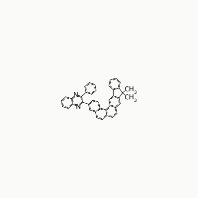 CC1(C)c2ccccc2-c2cc3c(ccc4ccc5cc(-c6nc7ccccc7nc6-c6ccccc6)ccc5c43)cc21